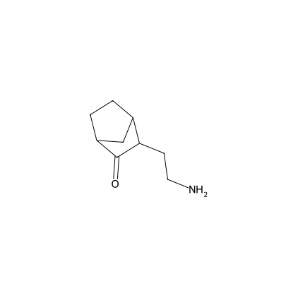 NCCC1C(=O)C2CCC1C2